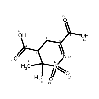 CC1(C)C(C(=O)O)CC(C(=O)O)=NS1(=O)=O